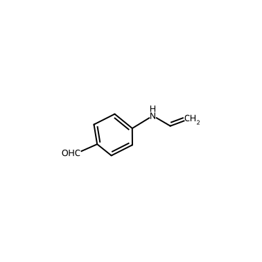 C=CNc1ccc(C=O)cc1